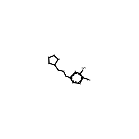 Clc1ccc(CCCC2CCCC2)cc1Cl